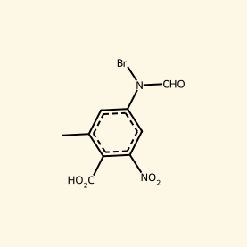 Cc1cc(N(Br)C=O)cc([N+](=O)[O-])c1C(=O)O